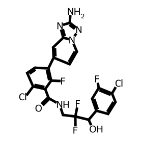 Nc1nc2cc(-c3ccc(Cl)c(C(=O)NCC(F)(F)C(O)c4ccc(Cl)c(F)c4)c3F)ccn2n1